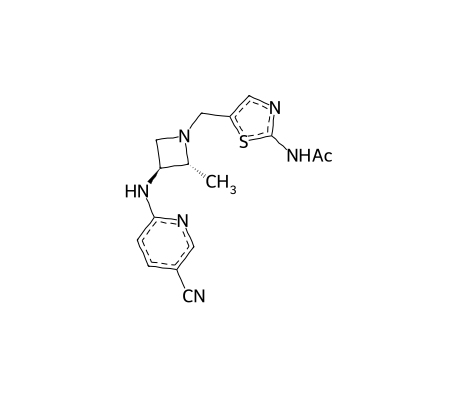 CC(=O)Nc1ncc(CN2C[C@H](Nc3ccc(C#N)cn3)[C@H]2C)s1